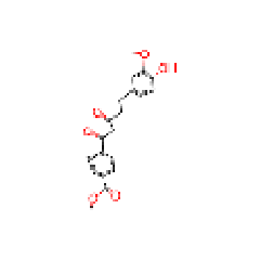 COC(=O)c1ccc(C(=O)CC(=O)CCc2ccc(O)c(OC)c2)cc1